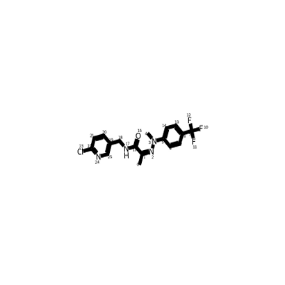 CC(=NN(C)c1ccc(C(F)(F)F)cc1)C(=O)NCc1ccc(Cl)nc1